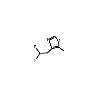 Cc1ocnc1CC(F)F